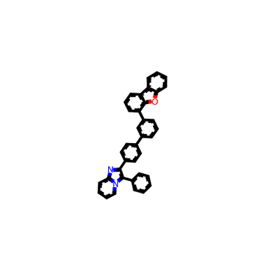 c1ccc(-c2c(-c3ccc(-c4cccc(-c5cccc6c5oc5ccccc56)c4)cc3)nc3ccccn23)cc1